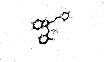 C[C@@H](c1ncccc1F)c1c(CCN2CCSC2)sc2ccccc12